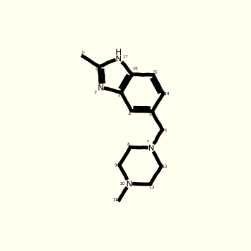 Cc1nc2cc(CN3CCN(C)CC3)ccc2[nH]1